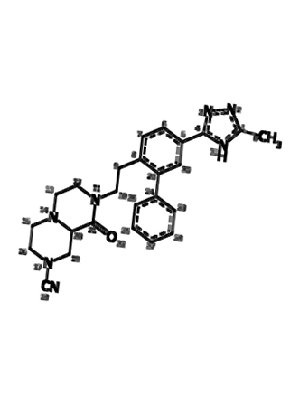 Cc1nnc(-c2ccc(CCN3CCN4CCN(C#N)CC4C3=O)c(-c3ccccc3)c2)[nH]1